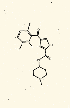 CCc1ccc(F)c(C(=O)c2c[nH]c(C(=O)NC3CCN(C)CC3)c2)c1F